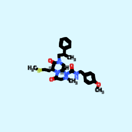 COc1ccc(CNC(=O)N2[C@H]3CN(CC(C)c4ccccc4)C(=O)[C@H](CCSC)N3C(=O)CN2C)cc1